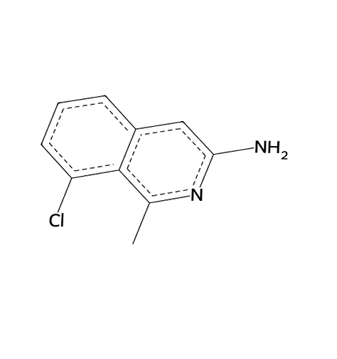 Cc1nc(N)cc2cccc(Cl)c12